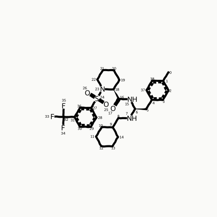 Cc1ccc(C[C@@H](NCC2CCCCC2)NC(=O)[C@@H]2CCCCN2S(=O)(=O)c2cccc(C(F)(F)F)c2)cc1